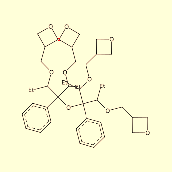 CCC(OCC1COC1)C(OC(c1ccccc1)(C(CC)OCC1COC1)C(CC)OCC1COC1)(c1ccccc1)C(CC)OCC1COC1